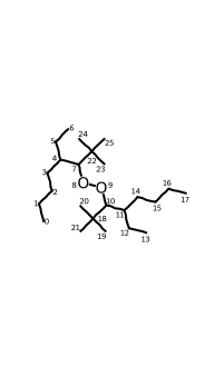 CCCCC(CC)C(OOC(C(CC)CCCC)C(C)(C)C)C(C)(C)C